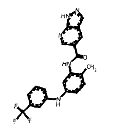 Cc1ccc(Nc2cccc(C(F)(F)F)c2)cc1NC(=O)c1cnc2[nH]ncc2c1